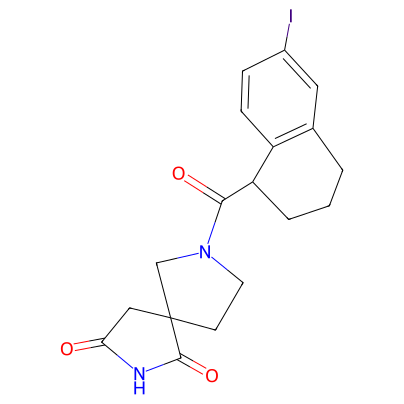 O=C1CC2(CCN(C(=O)C3CCCc4cc(I)ccc43)C2)C(=O)N1